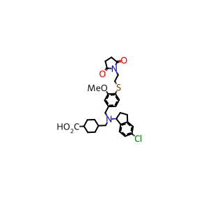 COc1cc(CN(CC2CCC(C(=O)O)CC2)[C@H]2CCc3cc(Cl)ccc32)ccc1SCCN1C(=O)CCC1=O